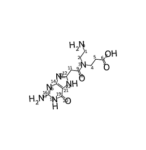 NCCN(CCC(=O)O)C(=O)Cc1nc2nc(N)[nH]c(=O)c2[nH]1